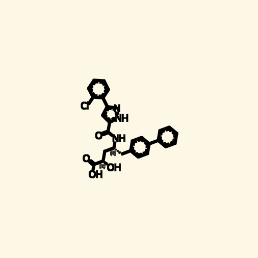 O=C(N[C@H](Cc1ccc(-c2ccccc2)cc1)C[C@@H](O)C(=O)O)c1cc(-c2ccccc2Cl)n[nH]1